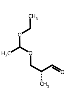 CCOC(C)OC[C@@H](C)C=O